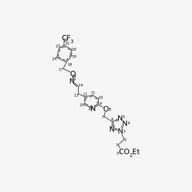 CCOC(=O)CCn1nnc(COc2ccc(CC=NOCc3ccc(C(F)(F)F)cc3)cn2)n1